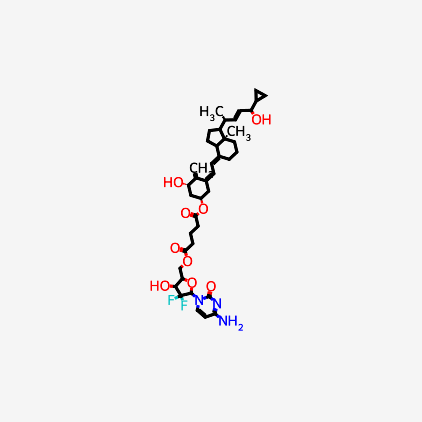 C=C1/C(=C\C=C2/CCC[C@@]3(C)C2CCC3[C@@H](C)/C=C/C(O)C2CC2)C[C@@H](OC(=O)CCCC(=O)OCC2OC(n3ccc(N)nc3=O)C(F)(F)C2O)C[C@@H]1O